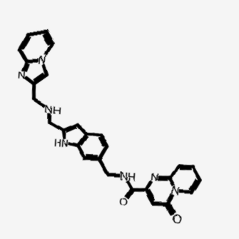 O=C(NCc1ccc2cc(CNCc3cn4ccccc4n3)[nH]c2c1)c1cc(=O)n2ccccc2n1